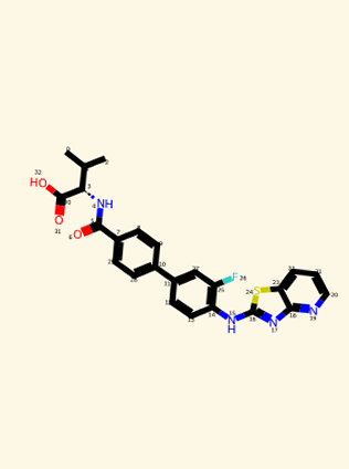 CC(C)[C@H](NC(=O)c1ccc(-c2ccc(Nc3nc4ncccc4s3)c(F)c2)cc1)C(=O)O